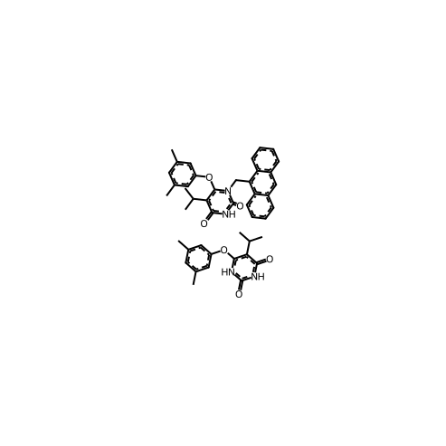 Cc1cc(C)cc(Oc2[nH]c(=O)[nH]c(=O)c2C(C)C)c1.Cc1cc(C)cc(Oc2c(C(C)C)c(=O)[nH]c(=O)n2Cc2c3ccccc3cc3ccccc23)c1